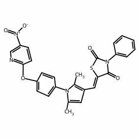 Cc1cc(C=C2SC(=O)N(c3ccccc3)C2=O)c(C)n1-c1ccc(Oc2ccc([N+](=O)[O-])cn2)cc1